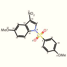 COc1ccc(S(=O)(=O)n2cc([N+](=O)[O-])c3cc(OC)ccc32)cc1